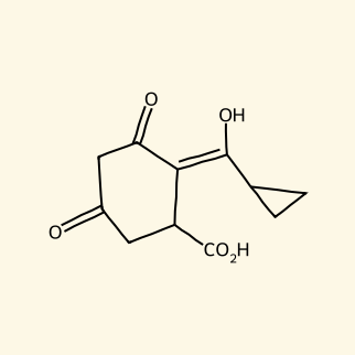 O=C1CC(=O)C(=C(O)C2CC2)C(C(=O)O)C1